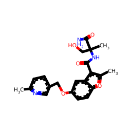 Cc1ccc(COc2ccc3oc(C)c(C(=O)NC(C)(CO)C(N)=O)c3c2)cn1